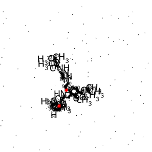 COc1c(C[C@H](NC(=O)CCn2cc(CNC(=O)OC(C)(C)C)nn2)B2O[C@@H]3C[C@@H]4C[C@@H](C4(C)C)[C@]3(C)O2)cccc1C(=O)OC(C)(C)C